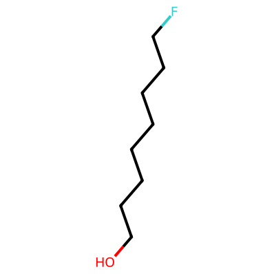 OCCCCCCCCF